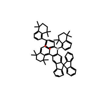 CC1(C)CCC(C)(C)c2c(-c3ccc(N(c4cc5c(cc4-c4cccc6c4C(C)(C)CCC6(C)C)-c4ccccc4C54c5ccccc5-c5ccccc54)c4cccc5c4C(C)(C)CCC5(C)C)cc3)cccc21